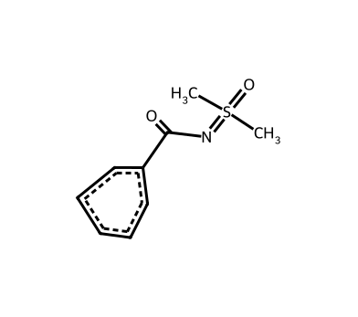 CS(C)(=O)=NC(=O)c1ccccc1